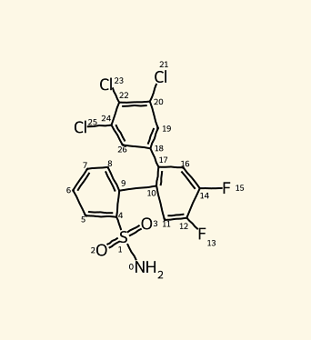 NS(=O)(=O)c1ccccc1-c1cc(F)c(F)cc1-c1cc(Cl)c(Cl)c(Cl)c1